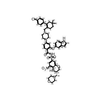 CC1(C)CCC(CN2CCN(c3ccc(C(=O)NS(=O)(=O)c4cc5c(c([N+](=O)[O-])c4)N[C@@H](CN4CCOCC4)CO5)c(Oc4cnc5[nH]ccc5c4)c3)CC2)=C(c2ccc(Cl)cc2)C1